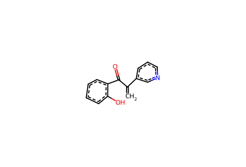 C=C(C(=O)c1ccccc1O)c1cccnc1